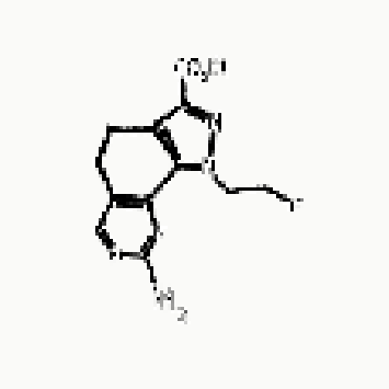 CCOC(=O)c1nn(CCF)c2c1CCc1cnc(N)nc1-2